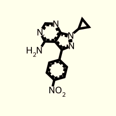 Nc1ncnc2c1c(-c1ccc([N+](=O)[O-])cc1)nn2C1CC1